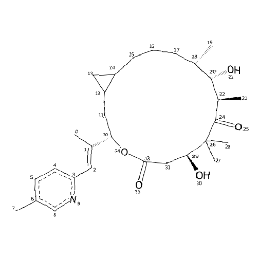 C/C(=C\c1ccc(C)cn1)[C@@H]1CC2CC2CCC[C@H](C)[C@H](O)[C@@H](C)C(=O)C(C)(C)[C@@H](O)CC(=O)O1